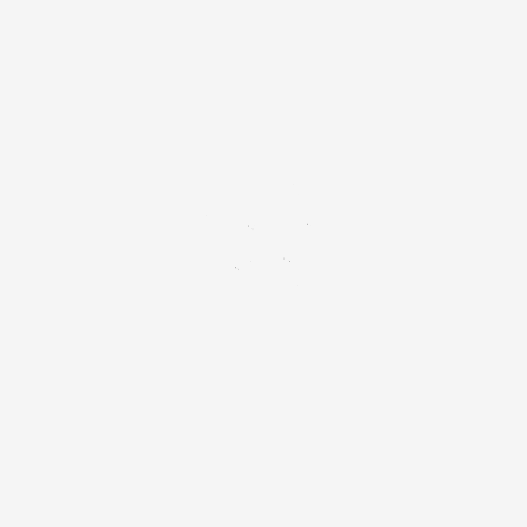 CCOC(=O)c1c(CC)nc2n(-c3c(C)cc(C)cc3C)c3ncccc3n12